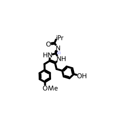 COc1ccc(Cc2[nH]/c(=N\C(=O)C(C)C)[nH]c2Cc2ccc(O)cc2)cc1